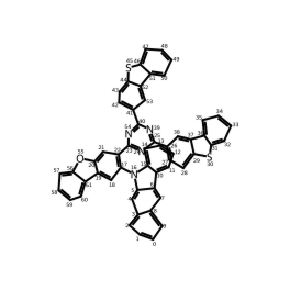 c1ccc2cc3c(cc2c1)c1ccccc1n3-c1cc2c(cc1-c1nc(-c3ccc4sc5ccccc5c4c3)nc(-c3ccc4sc5ccccc5c4c3)n1)oc1ccccc12